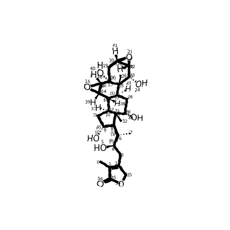 CC1=C(C[C@@H](O)[C@@H](C)C2[C@H](O)C[C@H]3[C@@H]4[C@@H]5O[C@@H]5[C@@]5(O)C[C@@H]6O[C@@H]6[C@H](O)[C@]5(C)[C@H]4C[C@H](O)[C@]23C)COC1=O